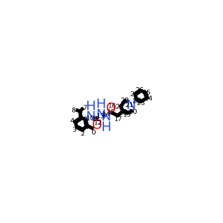 Cc1cccc(C(C)C)c1NC(=O)NNC(=O)CC1=CCN(c2ccccc2)CC1